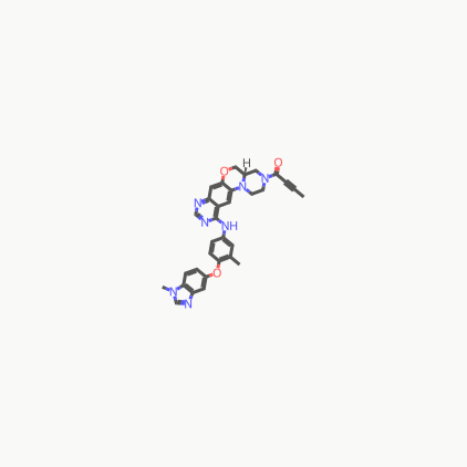 CC#CC(=O)N1CCN2c3cc4c(Nc5ccc(Oc6ccc7c(c6)ncn7C)c(C)c5)ncnc4cc3OC[C@@H]2C1